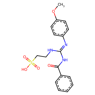 COc1ccc(/N=C(\NCCS(=O)(=O)O)NC(=O)c2ccccc2)cc1